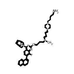 CN(CCCCN1CCN(CCCCN)CC1)CCCOc1nc(N2CC3CCC(C2)N3)c2ccc(-c3cccc4ccccc34)c(F)c2n1